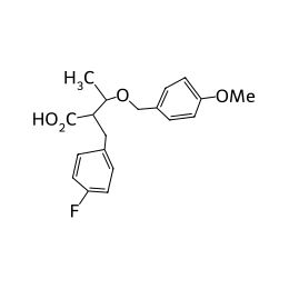 COc1ccc(COC(C)C(Cc2ccc(F)cc2)C(=O)O)cc1